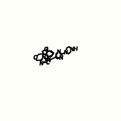 c1ccc2c(c1)OCC21COCc2nc3ccc(-c4cnc(N5CCNCC5)nc4)nc3n21